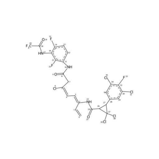 C=C/C(=C\C=C(\Cl)CC(=O)Nc1ccc(F)c(NC(=O)C(F)(F)F)c1F)NC(=O)C1C(c2cc(Cl)c(F)c(Cl)c2)C1(Cl)Cl